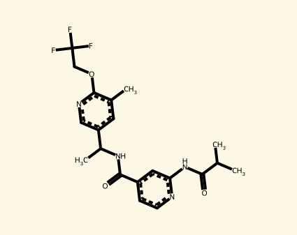 Cc1cc(C(C)NC(=O)c2ccnc(NC(=O)C(C)C)c2)cnc1OCC(F)(F)F